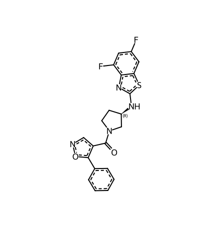 O=C(c1cnoc1-c1ccccc1)N1CC[C@@H](Nc2nc3c(F)cc(F)cc3s2)C1